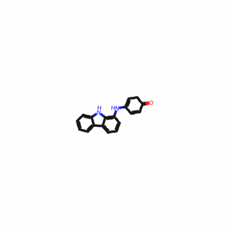 O=C1C=CC(Nc2cccc3c2[nH]c2ccccc23)=CC1